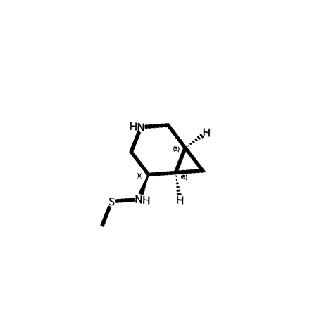 CSN[C@H]1CNC[C@H]2C[C@H]21